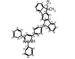 CC1(C)c2ccccc2-c2cc3c(cc21)c1ccccc1n3-c1ccc(C2=CC(C3C=CC=CC3)=NC(c3ccccc3)N2)cc1